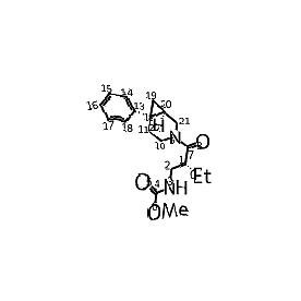 CC[C@H](CNC(=O)OC)C(=O)N1CC[C@@]2(c3ccccc3)C[C@H]2C1